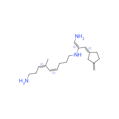 C=C1CC/C(=C/C(=C\N)NCCC/C=C\C(C)=C/CCN)C1